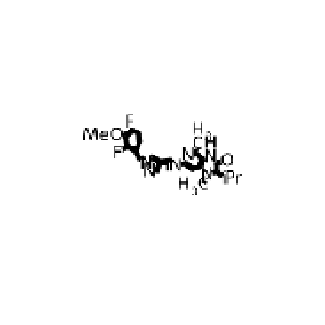 COc1c(F)ccc(Cn2cc(CNc3cc4c(c(C)n3)NC(=O)C(C(C)C)N4C)cn2)c1F